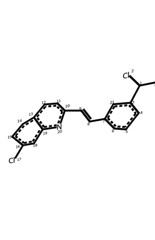 CC(Cl)c1cccc(C=Cc2ccc3ccc(Cl)cc3n2)c1